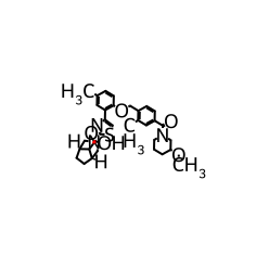 COC1CCCN(C(=O)c2ccc(COc3ccc(C)cc3-c3csc(N4C[C@@H]5CC[C@@H](C4)C5C(=O)O)n3)c(C)c2)C1